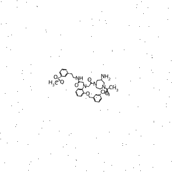 CC(=O)N1CCN(C(=O)CN(CC(=O)NCCc2cccc(S(C)(=O)=O)c2)c2ccccc2OCc2cccc(C)c2)CC(N)C1